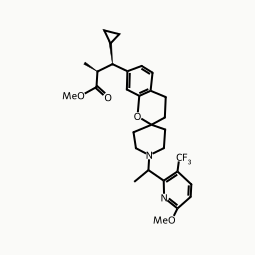 COC(=O)[C@@H](C)[C@H](c1ccc2c(c1)OC1(CC2)CCN(C(C)c2nc(OC)ccc2C(F)(F)F)CC1)C1CC1